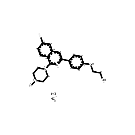 CCN1CCN(c2nc(-c3ccc(OCCO)cc3)cc3cc(F)ccc23)CC1.Cl.Cl